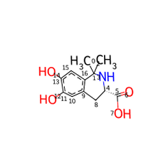 CC1(C)N[C@H](C(=O)O)Cc2cc(O)c(O)cc21